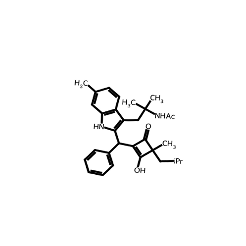 CC(=O)NC(C)(C)Cc1c(C(C2=C(O)C(C)(CC(C)C)C2=O)c2ccccc2)[nH]c2cc(C)ccc12